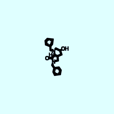 O=C1[C@@H]2C(CC(O)CN2Cc2ccccc2)CN1Cc1ccccc1